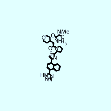 CN[C@@H](C)C(=O)N[C@H](C(=O)N1CCCC1c1nc(-c2ccc(-c3nnn[nH]3)c3ccccc23)cs1)C1CCOCC1